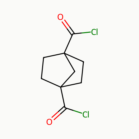 O=C(Cl)C12CCC(C(=O)Cl)(CC1)C2